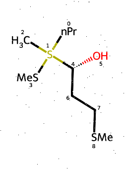 CCCS(C)(SC)[C@H](O)CCSC